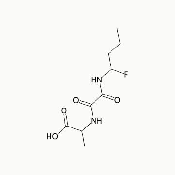 CCCC(F)NC(=O)C(=O)NC(C)C(=O)O